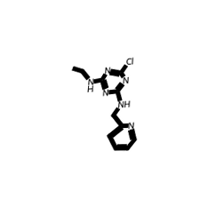 CCNc1nc(Cl)nc(NCc2ccccn2)n1